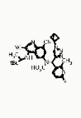 Cc1nc(F)ccc1[C@@H](c1cn(C23CC(C2)C3)nn1)N(C(=O)O)c1cc(C#N)c2ncc(C#N)c(NC(C)C(C)(C)C)c2c1